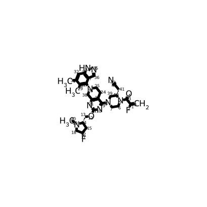 C=C(F)C(=O)N1CCN(c2nc(OC[C@@H]3C[C@@H](F)CN3C)nc3c2CCN(c2c(C)c(C)cc4[nH]ncc24)C3)C[C@@H]1CC#N